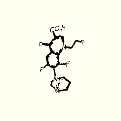 O=C(O)c1cn(CCF)c2c(F)c(N3CCN4CCC3CC4)c(F)cc2c1=O